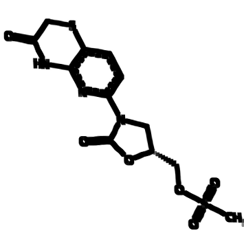 CS(=O)(=O)OC[C@H]1CN(c2ccc3c(n2)NC(=O)CS3)C(=O)O1